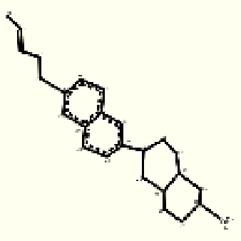 C/C=C/CCc1ccc2cc(C3CCC4CC(CCC)CCC4C3)ccc2c1